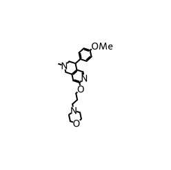 COc1ccc(C2CN(C)Cc3cc(OCCCN4CCOCC4)ncc32)cc1